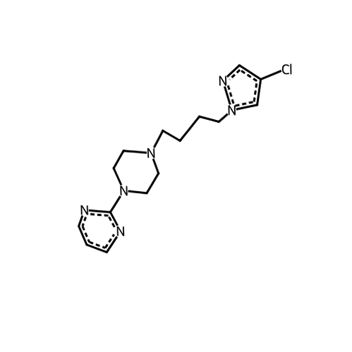 Clc1cnn(CCCCN2CCN(c3ncccn3)CC2)c1